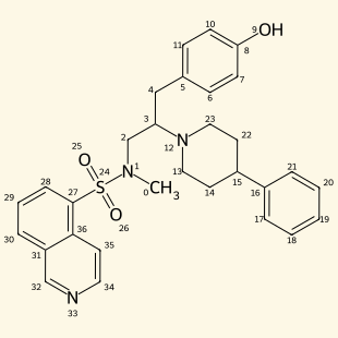 CN(CC(Cc1ccc(O)cc1)N1CCC(c2ccccc2)CC1)S(=O)(=O)c1cccc2cnccc12